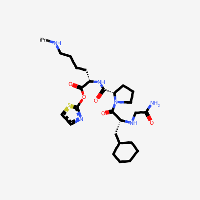 CC(C)NCCCC[C@H](NC(=O)[C@@H]1CCCN1C(=O)[C@@H](CC1CCCCC1)NCC(N)=O)C(=O)Oc1nccs1